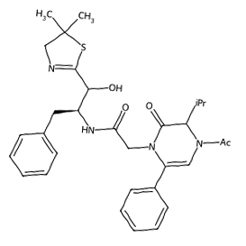 CC(=O)N1C=C(c2ccccc2)N(CC(=O)N[C@@H](Cc2ccccc2)C(O)C2=NCC(C)(C)S2)C(=O)C1C(C)C